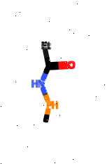 CCC(=O)NPC